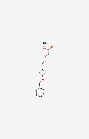 CC(C)(C)OC(=O)COCCC1CC(OCc2ccccc2)C1